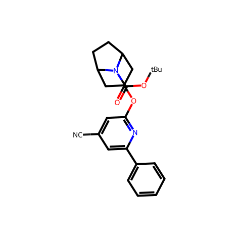 CC(C)(C)OC(=O)N1C2CCC1CC(Oc1cc(C#N)cc(-c3ccccc3)n1)C2